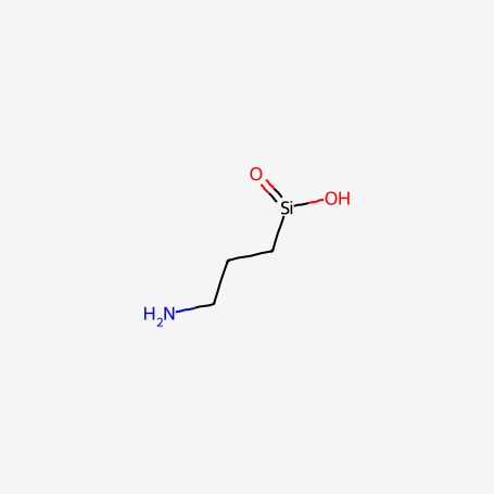 NCCC[Si](=O)O